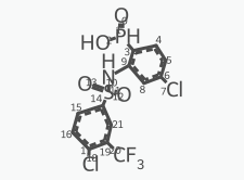 O=[PH](O)c1ccc(Cl)cc1NS(=O)(=O)c1ccc(Cl)c(C(F)(F)F)c1